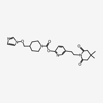 CC1(C)CC(=O)N(CCc2ccc(OC(=O)N3CCC(COn4ccnc4)CC3)nc2)C(=O)C1